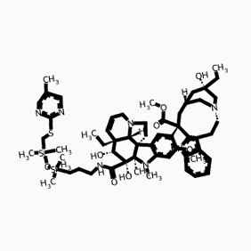 CC[C@]1(O)C[C@@H]2C[N@@](CCc3c([nH]c4ccccc34)[C@@](C(=O)OC)(c3cc4c(cc3OC)N(C)[C@@]3(C)[C@@](O)(C(=O)NCCC[Si](C)(C)O[Si](C)(C)CSc5ncc(C)cn5)[C@H](O)[C@]5(CC)C=CCN6CC[C@]43[C@@H]65)C2)C1